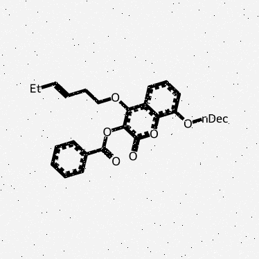 CC/C=C/CCOc1c(OC(=O)c2ccccc2)c(=O)oc2c(OCCCCCCCCCC)cccc12